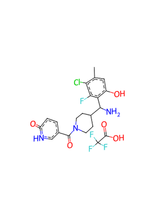 Cc1cc(O)c(C(N)C2CCN(C(=O)c3ccc(=O)[nH]c3)CC2)c(F)c1Cl.O=C(O)C(F)(F)F